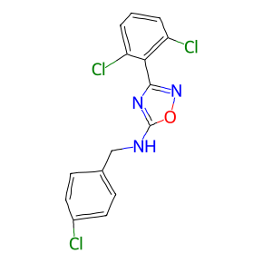 Clc1ccc(CNc2nc(-c3c(Cl)cccc3Cl)no2)cc1